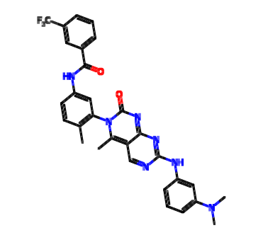 Cc1ccc(NC(=O)c2cccc(C(F)(F)F)c2)cc1-n1c(C)c2cnc(Nc3cccc(N(C)C)c3)nc2nc1=O